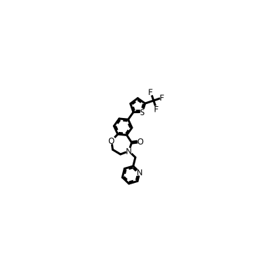 O=C1c2cc(-c3ccc(C(F)(F)F)s3)ccc2OCCN1Cc1ccccn1